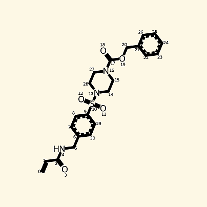 C=CC(=O)NCc1ccc(S(=O)(=O)N2CCN(C(=O)OCc3ccccc3)CC2)cc1